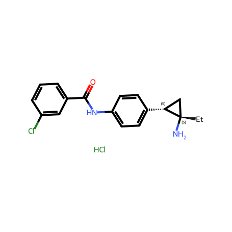 CC[C@]1(N)C[C@H]1c1ccc(NC(=O)c2cccc(Cl)c2)cc1.Cl